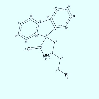 NC(=O)C1(CCCCBr)c2ccccc2-c2ccccc21